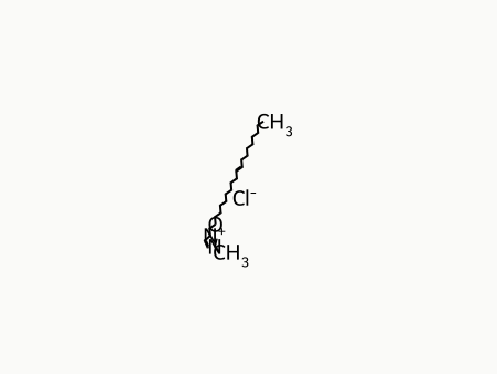 CCCCCCCCC=CCCCCCCCCOC[n+]1ccn(C)c1.[Cl-]